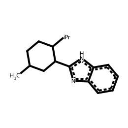 CC1CCC(C(C)C)C(c2nc3ccccc3[nH]2)C1